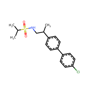 CC(CNS(=O)(=O)C(C)C)c1ccc(-c2ccc(Cl)cc2)cc1